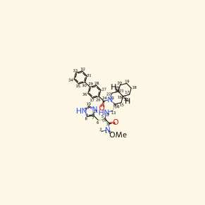 CON(C)C(=O)[C@H](Cc1c[nH]cn1)NC[C@H]1C[C@@H]2CCCC[C@H]2CN1C(=O)c1ccc(-c2ccccc2)cc1